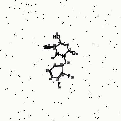 CN1[C@@H](C(C)(C)C)C(O)=CC(=O)N1Cc1cccc(F)c1F